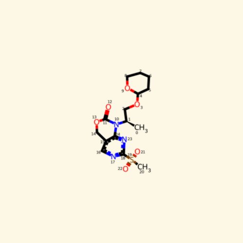 C[C@H](COC1CCCCO1)N1C(=O)OCc2cnc(S(C)(=O)=O)nc21